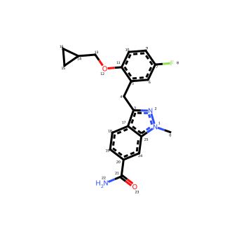 Cn1nc(Cc2cc(F)ccc2OCC2CC2)c2ccc(C(N)=O)cc21